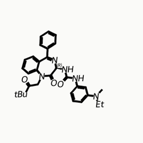 CCN(C)c1cccc(NC(=O)N[C@@H]2N=C(c3ccccc3)c3ccccc3N(CC(=O)C(C)(C)C)C2=O)c1